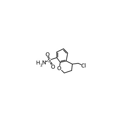 NS(=O)(=O)c1cccc2c1OCCC2CCl